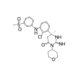 C[C@@]1(c2cccc(Nc3cccc(S(C)(=O)=O)c3)c2Cl)CC(=O)N(C2CCOCC2)C(=N)N1